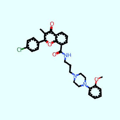 COc1ccccc1N1CCN(CCCNC(=O)c2cccc3c(=O)c(C)c(-c4ccc(Cl)cc4)oc23)CC1